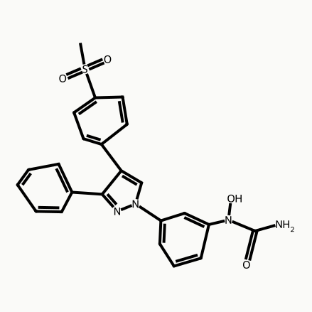 CS(=O)(=O)c1ccc(-c2cn(-c3cccc(N(O)C(N)=O)c3)nc2-c2ccccc2)cc1